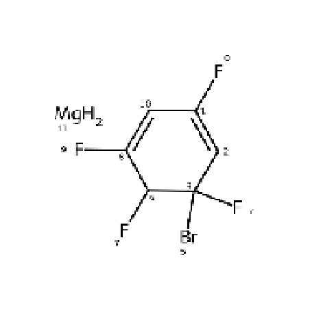 FC1=CC(F)(Br)C(F)C(F)=C1.[MgH2]